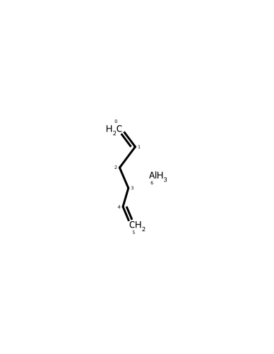 C=CCCC=C.[AlH3]